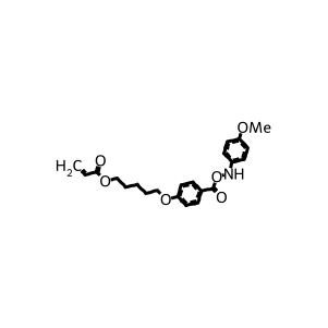 C=CC(=O)OCCCCCOc1ccc(C(=O)ONc2ccc(OC)cc2)cc1